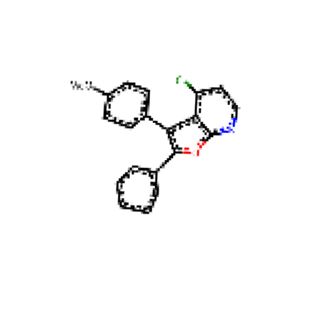 COc1ccc(-c2c(-c3ccccc3)oc3nccc(Cl)c23)cc1